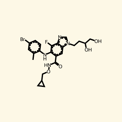 Cc1cc(Br)ccc1Nc1c(C(=O)NOCC2CC2)cc2c(ncn2CCC(O)CO)c1F